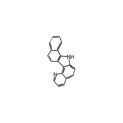 c1ccc2c(c1)ccc1c2[nH]c2ccc3cccnc3c21